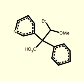 CCC(OC)C(C(=O)O)(c1ccccc1)c1cccnc1